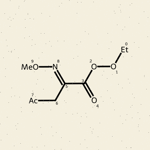 CCOOC(=O)C(CC(C)=O)=NOC